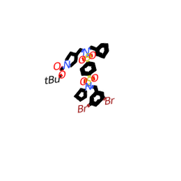 CC(C)(C)OC(=O)N1CCC(CN(Cc2ccccc2)S(=O)(=O)c2ccc(S(=O)(=O)N(Cc3cc(Br)cc(Br)c3)C3CCCC3)cc2)CC1